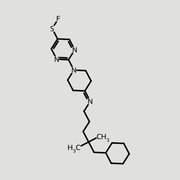 CC(C)(CCCN=C1CCN(c2ncc(SF)cn2)CC1)CC1CCCCC1